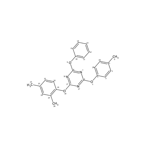 Cc1ccc(Oc2nc(Oc3ccccc3)nc(Oc3ccc(C)cc3C)n2)cc1